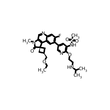 CCOC[C@H]1C[C@@]2(C1)C(=O)N(C)c1cnc3cc(F)c(-c4cnc(OCCNC(C)C)c(NS(C)(=O)=O)c4)cc3c12